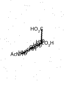 CC(=O)NCCNC(=O)COCCOCCNC(=O)COCCOCCNC(=O)CC[C@H](NC(=O)CCCCCCCCCCCCC(=O)O)C(=O)O